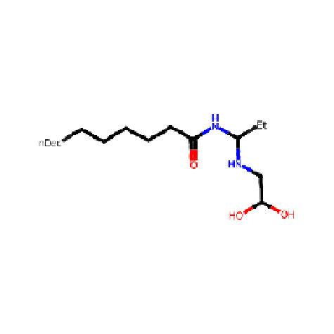 CCCCCCCCCCCCCCCC(=O)NC(CC)NCC(O)O